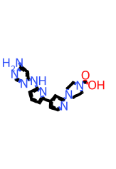 Nc1cc(Nc2cccc(-c3ccnc(N4CCN(C(=O)O)CC4)c3)n2)ncn1